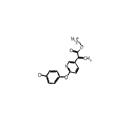 C=C(C(=O)OC)c1ccc(Oc2ccc(Cl)cc2)nc1